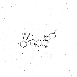 CC(C)(c1ccccc1)C(CC(=O)O)c1ccc(O)c(-n2nc3ccc(I)cc3n2)c1